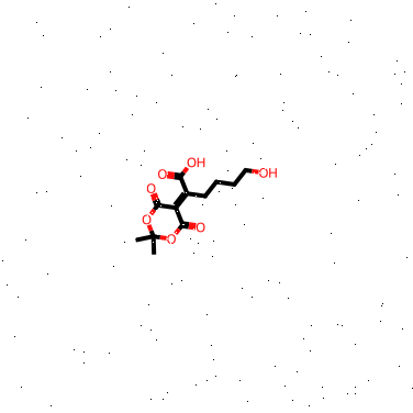 CC1(C)OC(=O)C(=C(CCCCO)C(=O)O)C(=O)O1